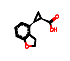 O=C(O)[C@@H]1C[C@H]1c1cccc2c1CCO2